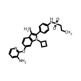 CCCS(=O)(=O)Nc1ccc(-c2c(N)c3ccc(Oc4ncccc4N)cc3n2C2CCC2)cc1